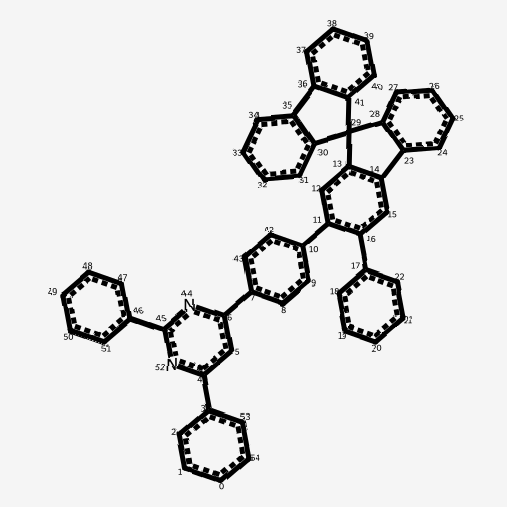 c1ccc(-c2cc(-c3ccc(-c4cc5c(cc4-c4ccccc4)-c4ccccc4C54c5ccccc5-c5ccccc54)cc3)nc(-c3ccccc3)n2)cc1